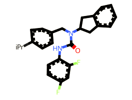 CC(C)c1ccc(CN(C(=O)Nc2ccc(F)cc2F)C2Cc3ccccc3C2)cc1